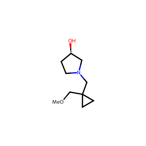 COCC1(CN2CC[C@@H](O)C2)CC1